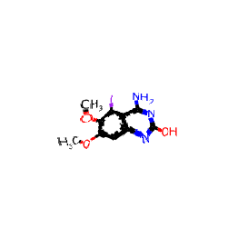 COc1cc2nc(O)nc(N)c2c(I)c1OC